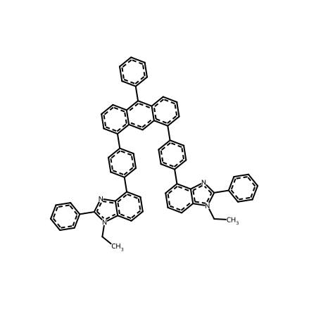 CCn1c(-c2ccccc2)nc2c(-c3ccc(-c4cccc5c(-c6ccccc6)c6cccc(-c7ccc(-c8cccc9c8nc(-c8ccccc8)n9CC)cc7)c6cc45)cc3)cccc21